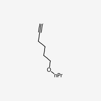 [C]#CCCCCOCCC